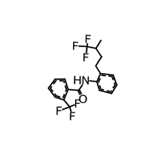 CC(CCc1ccccc1NC(=O)c1ccccc1C(F)(F)F)C(F)(F)F